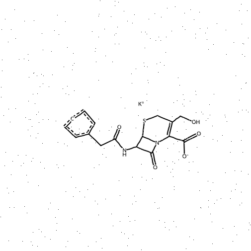 O=C(Cc1ccccc1)NC1C(=O)N2C(C(=O)[O-])=C(CO)CSC12.[K+]